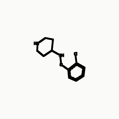 Clc1ccccc1ONC1CCNCC1